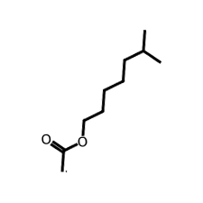 [CH2]C(=O)OCCCCCC(C)C